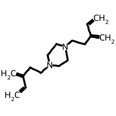 C=CC(=C)CCN1CCN(CCC(=C)C=C)CC1